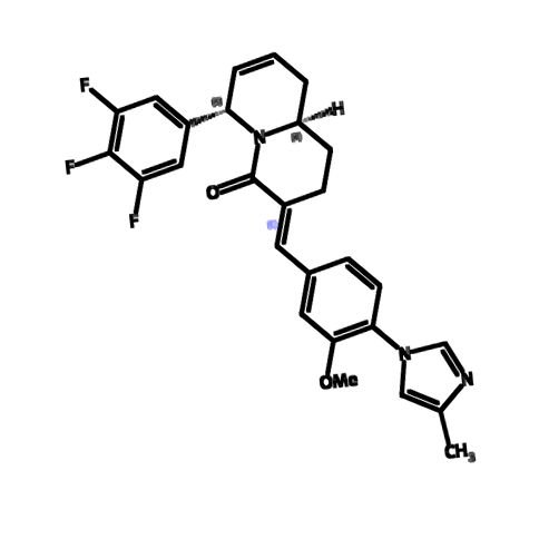 COc1cc(/C=C2\CC[C@@H]3CC=C[C@@H](c4cc(F)c(F)c(F)c4)N3C2=O)ccc1-n1cnc(C)c1